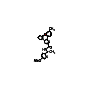 COc1ccc([C@@H](C)NC(=O)N2C[C@@H](N3CCCC3=O)C(c3ccc(C)cc3)=N2)nc1